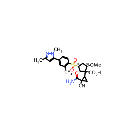 CO[C@@H]1C[C@H](S(=O)(=O)c2ccc(-c3cc(C)nn3C)cc2C(F)(F)F)C[C@@]1(C(=O)O)C1CC1(C#N)C(N)=O